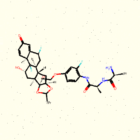 CCCC1O[C@@H]2C[C@H]3[C@@H]4C[C@H](F)C5=CC(=O)C=C[C@]5(C)[C@@]4(F)[C@@H](O)C[C@]3(C)[C@]2(C(=O)COc2ccc(NC(=O)[C@H](C)NC(=O)[C@@H](N)C(C)C)c(F)c2)O1